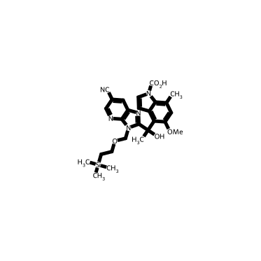 COc1cc(C)c2c(ccn2C(=O)O)c1C(C)(O)c1nc2cc(C#N)cnc2n1COCC[Si](C)(C)C